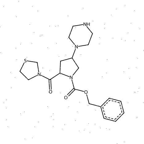 O=C(C1CC(N2CCNCC2)CN1C(=O)OCc1ccccc1)N1CCSC1